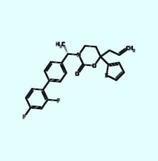 C=CCC1(c2cccs2)CCN([C@@H](C)c2ccc(-c3ccc(F)cc3F)cc2)C(=O)O1